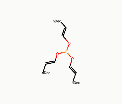 CCCCCCCCCC/C=C/OP(O/C=C/CCCCCCCCCC)O/C=C/CCCCCCCCCC